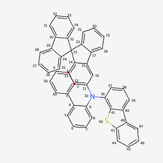 c1ccc(-c2ccccc2N(c2ccc3c(c2)-c2ccccc2C32c3ccccc3-c3ccccc32)c2cccc3c2sc2ccccc23)cc1